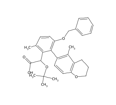 Cc1ccc(OCc2ccccc2)c(-c2ccc3c(c2C)CCCO3)c1C(OC(C)(C)C)C(=O)O